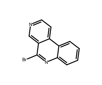 Brc1nc2ccccc2c2ccncc12